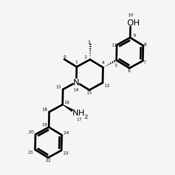 CC1[C@H](C)[C@H](c2cccc(O)c2)CCN1C[C@@H](N)Cc1ccccc1